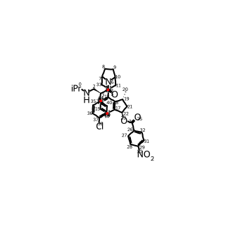 CC(C)NC[C@@H](C(=O)N1C2CCC1CN(c1ncnc3c1[C@H](C)C[C@H]3OC(=O)c1ccc([N+](=O)[O-])cc1)C2)c1ccc(Cl)cc1